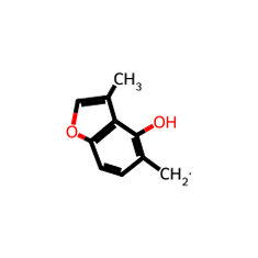 [CH2]c1ccc2occ(C)c2c1O